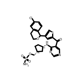 NS(=O)(=O)OC[C@@H]1CC[C@H](Nc2ncncc2C(=O)c2cc(C3OCCc4cc(Cl)ccc43)cs2)C1